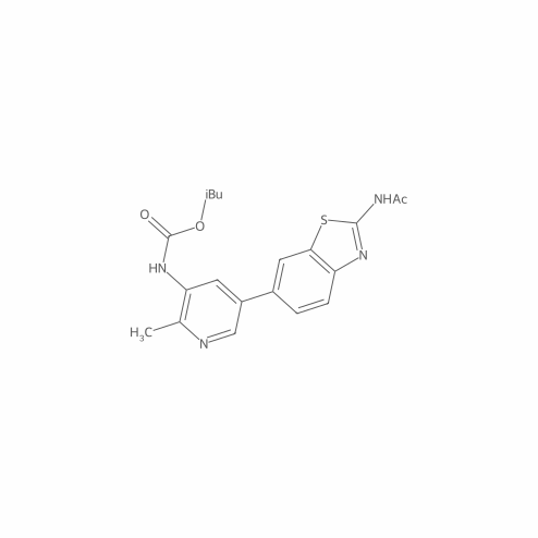 CCC(C)OC(=O)Nc1cc(-c2ccc3nc(NC(C)=O)sc3c2)cnc1C